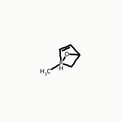 C[PH]12C=CC(C1)O2